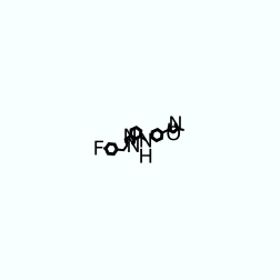 Cc1ncc(-c2ccc(Nc3cccn4cc(Cc5ccc(F)cc5)nc34)cc2)o1